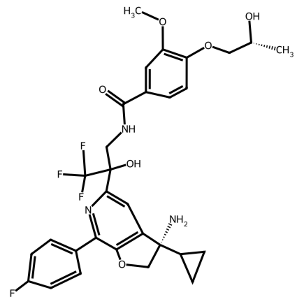 COc1cc(C(=O)NCC(O)(c2cc3c(c(-c4ccc(F)cc4)n2)OC[C@]3(N)C2CC2)C(F)(F)F)ccc1OC[C@@H](C)O